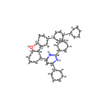 c1ccc(-c2ccc(-c3ccc4oc5cccc(-c6cc(-c7ccccc7)nc(-c7ccccc7)n6)c5c4c3)cc2)cc1